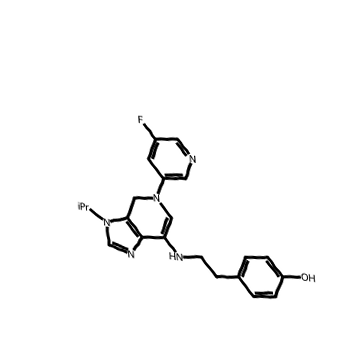 CC(C)n1cnc2c1CN(c1cncc(F)c1)C=C2NCCc1ccc(O)cc1